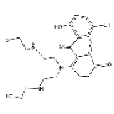 O=C1C=CC(N(CCNCCO)CCNCCO)=C2C(=O)c3c(O)ccc(O)c3C=C12